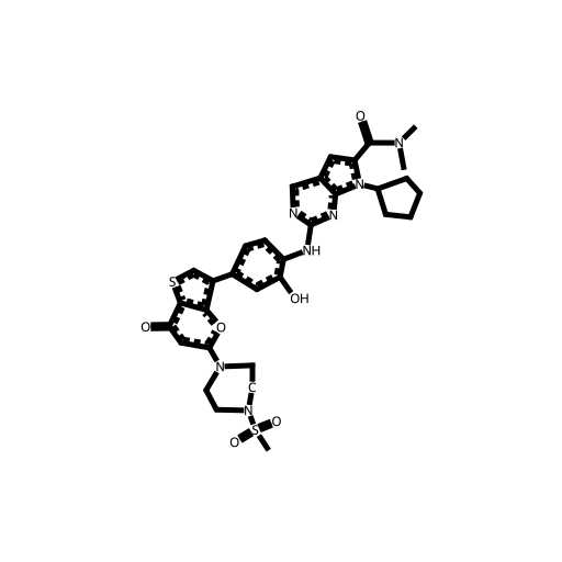 CN(C)C(=O)c1cc2cnc(Nc3ccc(-c4csc5c(=O)cc(N6CCN(S(C)(=O)=O)CC6)oc45)cc3O)nc2n1C1CCCC1